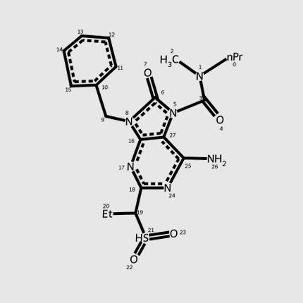 CCCN(C)C(=O)n1c(=O)n(Cc2ccccc2)c2nc(C(CC)[SH](=O)=O)nc(N)c21